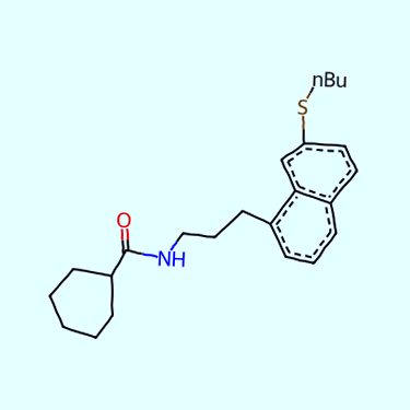 CCCCSc1ccc2cccc(CCCNC(=O)C3CCCCC3)c2c1